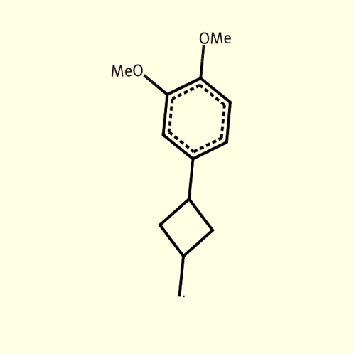 [CH2]C1CC(c2ccc(OC)c(OC)c2)C1